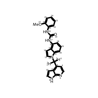 [2H]C([2H])(c1ccnc2[nH]ccc12)n1ccc2c(NC(=O)Nc3ccccc3OC)cccc21